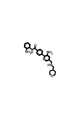 Nc1ccccc1NC(=O)c1ccc(-c2ncc(CNCC3CCOCC3)cc2N)cc1